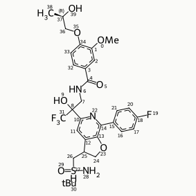 COc1cc(C(=O)NCC(O)(c2cc3c(c(-c4ccc(F)cc4)n2)OCC3C[SH](N)(=O)C(C)(C)C)C(F)(F)F)ccc1OC[C@@H](C)O